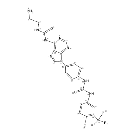 NCCNC(=O)Nc1ncnc2c1ncn2-c1ccc(NC(=O)Nc2ccc(Cl)c(C(F)(F)F)c2)cc1